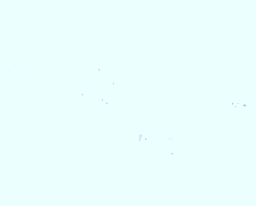 COC(=O)CC[C@@H](C)NC(=O)CN1C(=O)C(C)(C)c2c(F)c(C3CC3)cc(F)c21